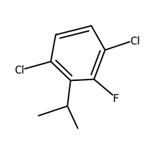 CC(C)c1c(Cl)ccc(Cl)c1F